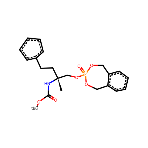 CC(C)(C)OC(=O)N[C@](C)(CCc1ccccc1)COP1(=O)OCc2ccccc2CO1